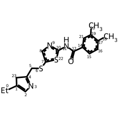 CCC1=CN=C(CSc2cnc(NC(=O)c3ccc(C)c(C)c3)s2)C1